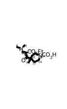 CCOC(=O)/C(=C\N(C)C)C(=O)C1(C)CCN(C(=O)O)CC1